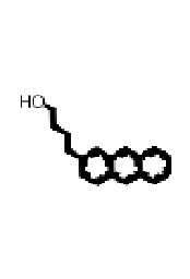 OCCCCc1ccc2cc3ccccc3cc2c1